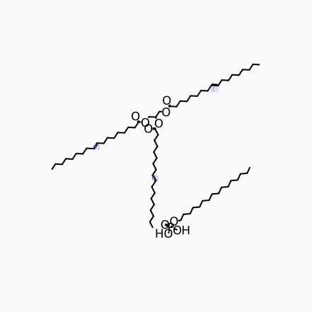 CCCCCCCC/C=C/CCCCCCCC(=O)OCC(COC(=O)CCCCCCC/C=C/CCCCCCCC)OC(=O)CCCCCCC/C=C/CCCCCCCC.CCCCCCCCCCCCCCCCOP(=O)(O)O